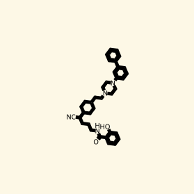 N#CC(CCCNC(=O)c1ccccc1O)C1CCC(CCN2CCN(c3cccc(-c4ccccc4)c3)CC2)CC1